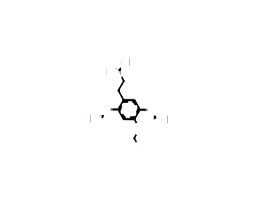 CNCCc1cc(OC)c(SCF)cc1OC